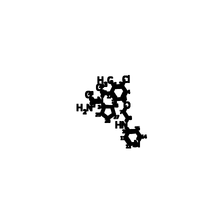 Cc1c(Cl)cc(OCCNc2ccncc2)cc1C(=O)N(C(N)=O)C1CCCC1